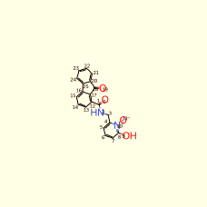 O=C(NCc1cccc(O)[n+]1[O-])c1cccc2c1C(=O)c1ccccc1-2